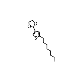 CCCCCCCCc1cc(C2OCCO2)cs1